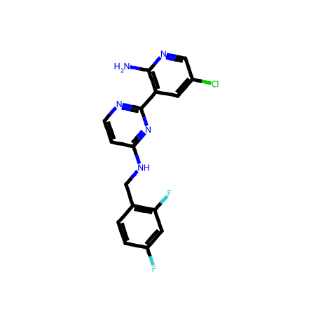 Nc1ncc(Cl)cc1-c1nccc(NCc2ccc(F)cc2F)n1